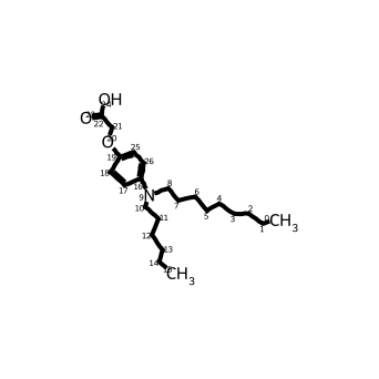 CCCCCCCCCN(CCCCCC)c1ccc(OCC(=O)O)cc1